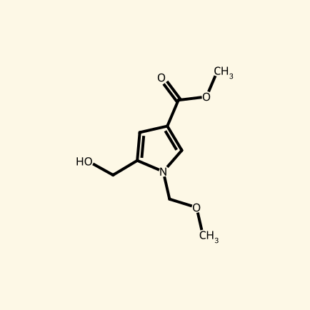 COCn1cc(C(=O)OC)cc1CO